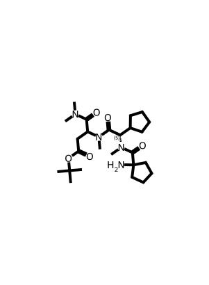 CN(C)C(=O)C(CC(=O)OC(C)(C)C)N(C)C(=O)[C@H](C1CCCC1)N(C)C(=O)C1(N)CCCC1